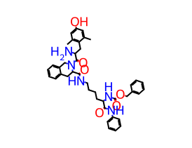 Cc1cc(O)cc(C)c1CC(N)C(=O)N1Cc2ccccc2CC1C(=O)NCCCCC(NC(=O)OCc1ccccc1)C(=O)Nc1ccccc1